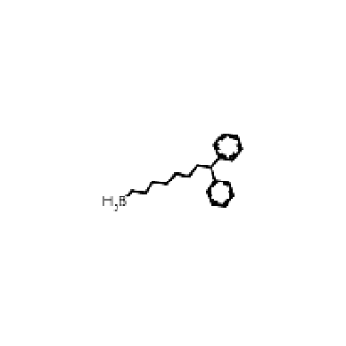 BCCCCCCCC(c1ccccc1)c1ccccc1